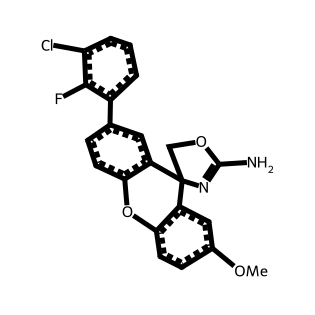 COc1ccc2c(c1)C1(COC(N)=N1)c1cc(-c3cccc(Cl)c3F)ccc1O2